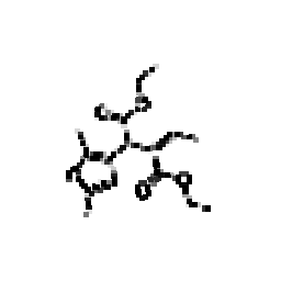 CC=C(C(=O)OCC)C(C(=O)OCC)c1cc(C)oc1C